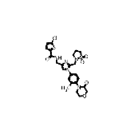 Cc1cc(-n2cc(CNC(=O)c3ccc(Cl)s3)nc2CN2CCCS2(=O)=O)ccc1N1CCOCC1=O